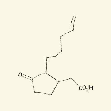 C=CCCCC1C(=O)CCC1CC(=O)O